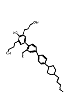 CCCCCC1CCC(c2ccc(-c3ccc(-c4cc(CCCO)c(O)c(CCCO)c4)c(CC)c3)cc2)CC1